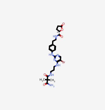 CC(C)(C(N)=O)C(=O)NCCCNc1nc(Nc2ccc(CCNC(=O)[C@@H]3CCC(=O)O3)cc2)ncc1Br